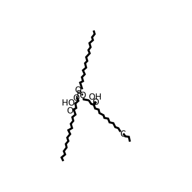 CCCCCCCCCCCCCCCCCCOP(OCC(O)CC(=O)CCCCCCCCCCCCCCC)OCC(O)CC(=O)CCCCCCCCCCCCCCC